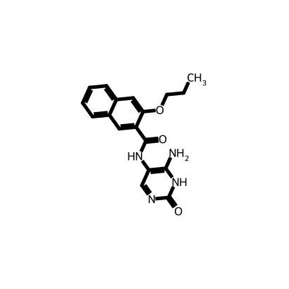 CCCOc1cc2ccccc2cc1C(=O)Nc1cnc(=O)[nH]c1N